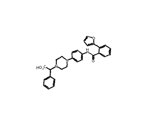 O=C(Nc1ccc(N2CCN(C(C(=O)O)c3ccccc3)CC2)cc1)c1ccccc1-c1ccco1